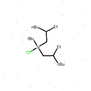 CCCCC(CC)C[Si](Cl)(CC(CC)CCCC)C(C)(C)C